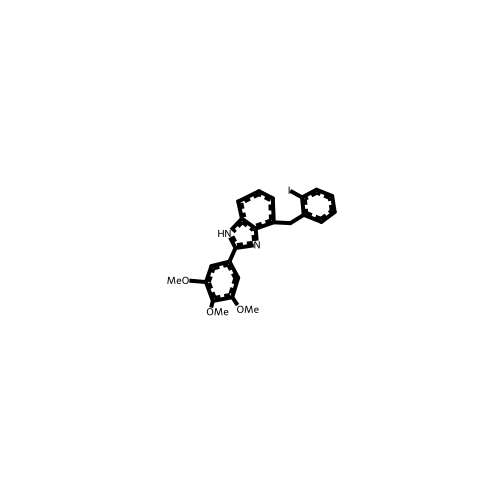 COc1cc(-c2nc3c(Cc4ccccc4I)cccc3[nH]2)cc(OC)c1OC